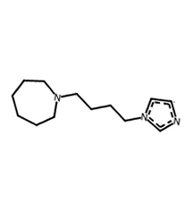 [c]1cn(CCCCN2CCCCCC2)cn1